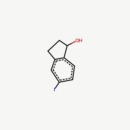 OC1CCc2cc(I)ccc21